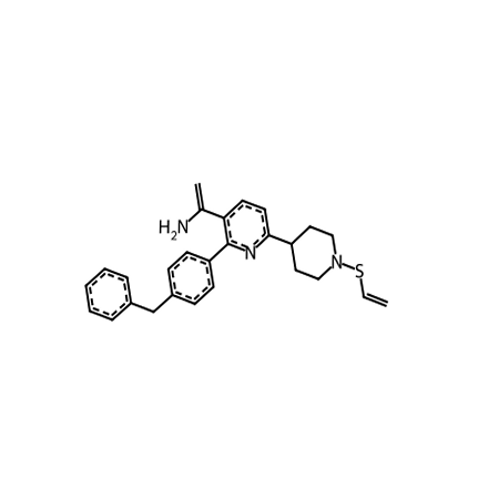 C=CSN1CCC(c2ccc(C(=C)N)c(-c3ccc(Cc4ccccc4)cc3)n2)CC1